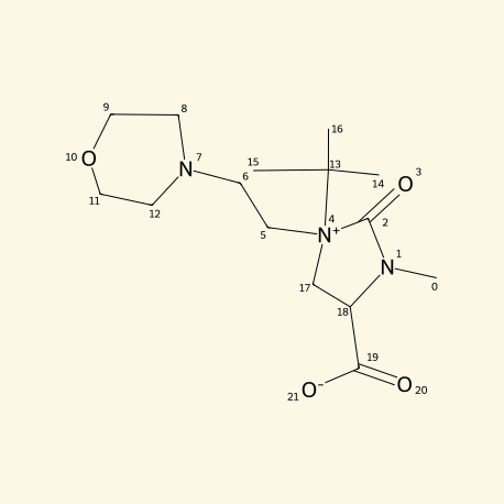 CN1C(=O)[N+](CCN2CCOCC2)(C(C)(C)C)CC1C(=O)[O-]